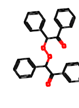 O=C(c1ccccc1)C(OOC(C(=O)c1ccccc1)c1ccccc1)c1ccccc1